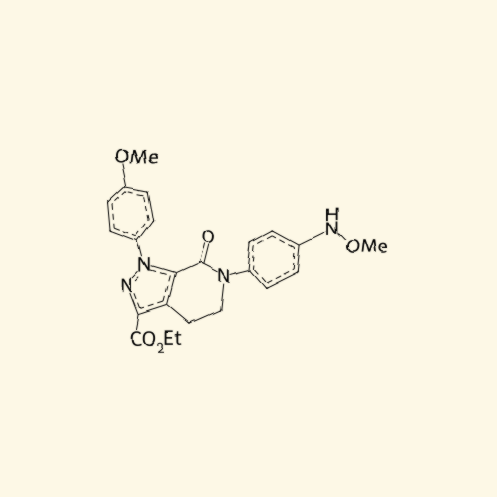 CCOC(=O)c1nn(-c2ccc(OC)cc2)c2c1CCN(c1ccc(NOC)cc1)C2=O